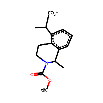 CC(C(=O)O)c1cccc2c1CCN(C(=O)OC(C)(C)C)C2C